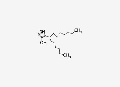 CCCCCCCC(CCCCCC)c1nonc1O